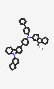 CC1c2ccccc2-c2ccc(N(c3ccc(-c4ccccc4)cc3)c3ccc(-c4ccc5c(c4)c4ccccc4n5-c4ccc5ccccc5c4)cc3)cc21